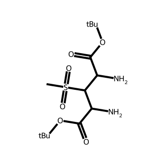 CC(C)(C)OC(=O)C(N)C(C(N)C(=O)OC(C)(C)C)S(C)(=O)=O